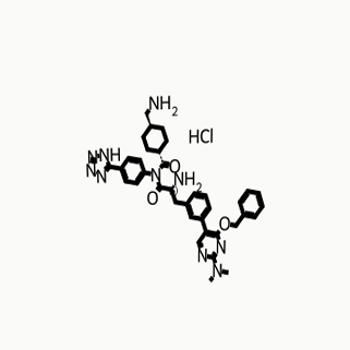 CN(C)c1ncc(-c2cccc(C[C@H](N)C(=O)N(c3ccc(-c4nnn[nH]4)cc3)C(=O)[C@H]3CC[C@H](CN)CC3)c2)c(OCc2ccccc2)n1.Cl